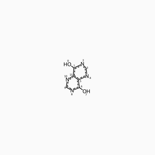 Oc1ncnc2c(O)ncnc12